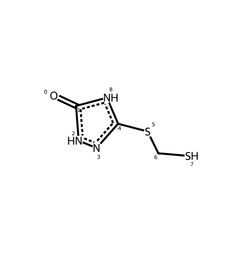 O=c1[nH]nc(SCS)[nH]1